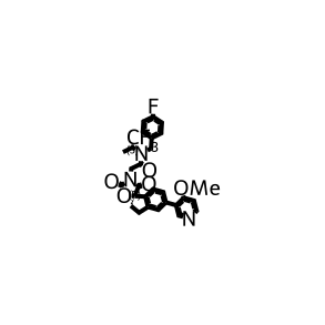 COc1ccncc1-c1ccc2c(c1)CC[C@@]21OC(=O)N(CC(=O)N(Cc2ccc(F)cc2)[C@@H](C)C(F)(F)F)C1=O